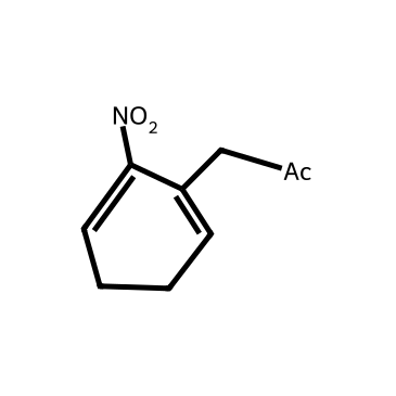 CC(=O)CC1=CCCC=C1[N+](=O)[O-]